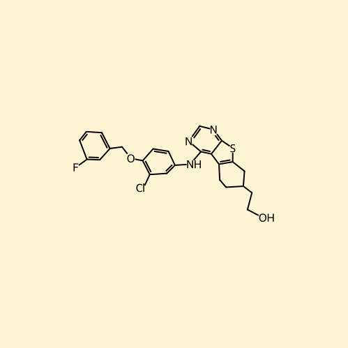 OCCC1CCc2c(sc3ncnc(Nc4ccc(OCc5cccc(F)c5)c(Cl)c4)c23)C1